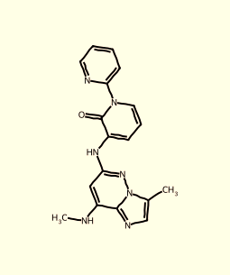 CNc1cc(Nc2cccn(-c3ccccn3)c2=O)nn2c(C)cnc12